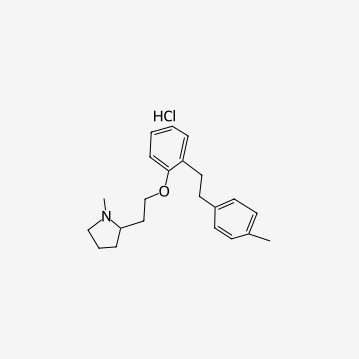 Cc1ccc(CCc2ccccc2OCCC2CCCN2C)cc1.Cl